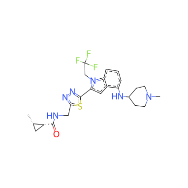 C[C@H]1C[C@H]1C(=O)NCc1nnc(-c2cc3c(NC4CCN(C)CC4)cccc3n2CC(F)(F)F)s1